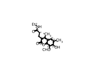 CCNC(=O)CCc1c(C)c2cc(C)c(O)c(C=O)c2oc1=O